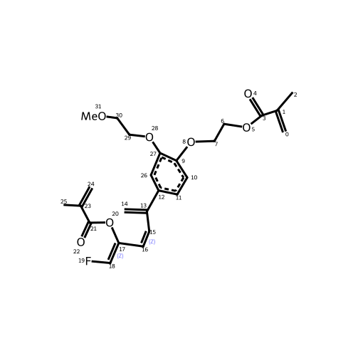 C=C(C)C(=O)OCCOc1ccc(C(=C)/C=C\C(=C\F)OC(=O)C(=C)C)cc1OCCOC